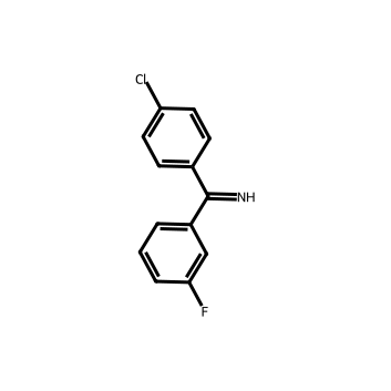 N=C(c1ccc(Cl)cc1)c1cccc(F)c1